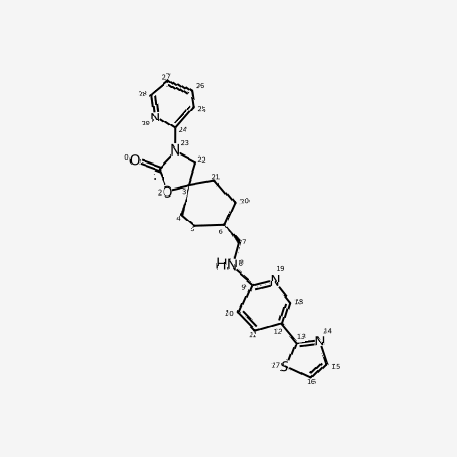 O=C1O[C@]2(CC[C@H](CNc3ccc(-c4nccs4)cn3)CC2)CN1c1ccccn1